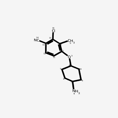 Cc1c(OC2CCC(N)CC2)ccc(C#N)c1Cl